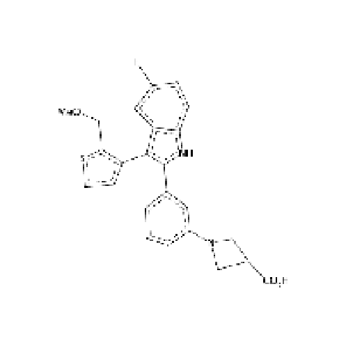 COCc1sccc1-c1c(-c2cccc(N3CC(C(=O)O)C3)c2)[nH]c2ccc(F)cc12